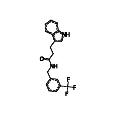 O=C(CCc1c[nH]c2ccccc12)NCc1cccc(C(F)(F)F)c1